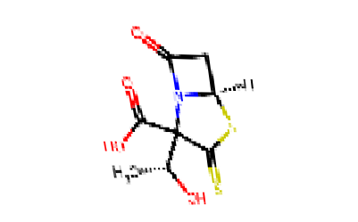 C[C@@H](O)C1(C(=O)O)C(=S)S[C@@H]2CC(=O)N21